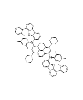 Cc1ccc(N(c2cc(C3CCCCC3)c3ccc4c(N(c5ccc(C)cc5C)c5cccc6c5oc5c(-c7ccccc7C)cccc56)cc(C5CCCCC5)c5ccc2c3c54)c2cccc3c2oc2c(-c4ccccc4C)cccc23)c(C)c1